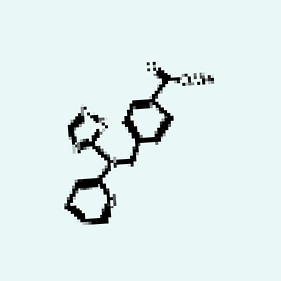 COC(=O)c1ccc(CN(c2ccccn2)c2ncns2)cc1